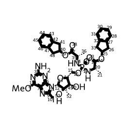 COc1nc(N)nc2c1nc(I)n2[C@@H]1O[C@H](COP(=O)(N[C@@H](C)C(=O)OC2Cc3ccccc3C2)N[C@@H](C)C(=O)OC2Cc3ccccc3C2)[C@@H](O)[C@@]1(C)O